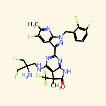 Cc1nc2c(cc1F)c(-c1nc(NCC(N)(CF)CF)c3c(n1)NC(=O)C3(C)C(F)(F)F)nn2Cc1cccc(F)c1F